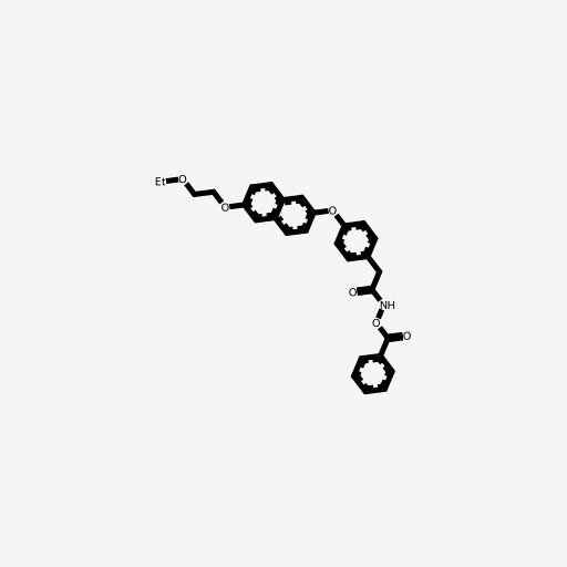 CCOCCOc1ccc2cc(Oc3ccc(CC(=O)NOC(=O)c4ccccc4)cc3)ccc2c1